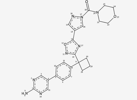 Nc1ncc(-c2ccc(C3(c4noc(-c5cnn(C(=O)N6CCOCC6)c5)n4)CCC3)cc2)cn1